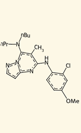 CCCCN(CCC)c1c(C)c(Nc2ccc(OC)cc2Cl)nc2ccnn12